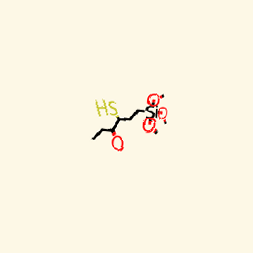 CCC(=O)C(S)CC[Si](OC)(OC)OC